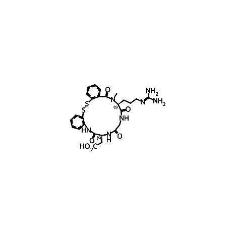 CN1C(=O)c2ccccc2SSc2ccccc2NC(=O)[C@H](CC(=O)O)NC(=O)CNC(=O)[C@@H]1CCCN=C(N)N